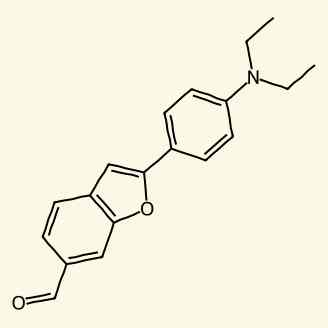 CCN(CC)c1ccc(-c2cc3ccc(C=O)cc3o2)cc1